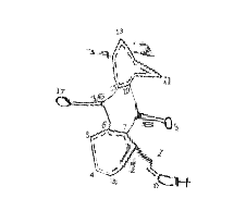 [CH]=Cc1cccc2c1C(=O)c1ccccc1C2=O